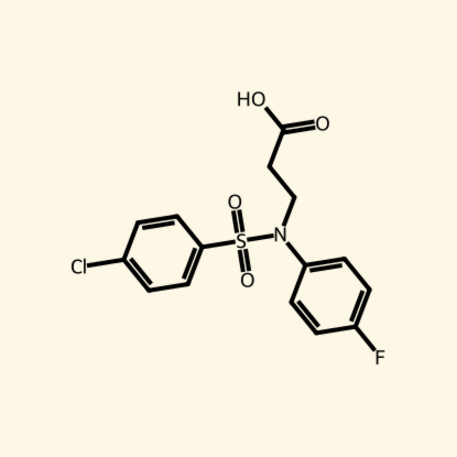 O=C(O)CCN(c1ccc(F)cc1)S(=O)(=O)c1ccc(Cl)cc1